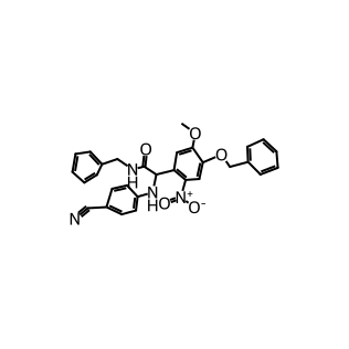 COc1cc(C(Nc2ccc(C#N)cc2)C(=O)NCc2ccccc2)c([N+](=O)[O-])cc1OCc1ccccc1